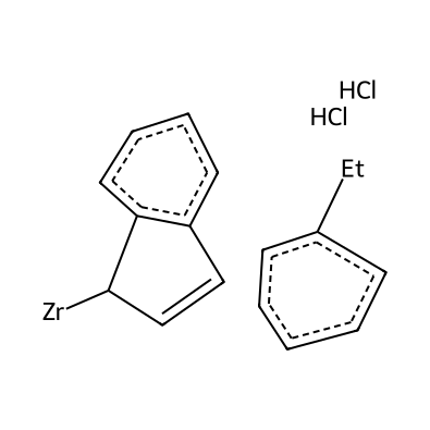 CCc1ccccc1.Cl.Cl.[Zr][CH]1C=Cc2ccccc21